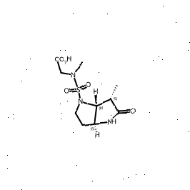 C[C@@H]1C(=O)N[C@H]2CCN(S(=O)(=O)N(C)CC(=O)O)[C@@H]21